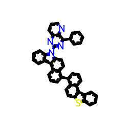 c1ccc(-c2nc(-n3c4ccccc4c4c5cccc(-c6cccc7c6ccc6sc8ccccc8c67)c5ccc43)nc3cccnc23)cc1